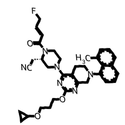 Cc1cccc2cccc(N3CCc4c(nc(OCCCOC5CC5)nc4N4CCN(C(=O)/C=C/CF)[C@@H](CC#N)C4)C3)c12